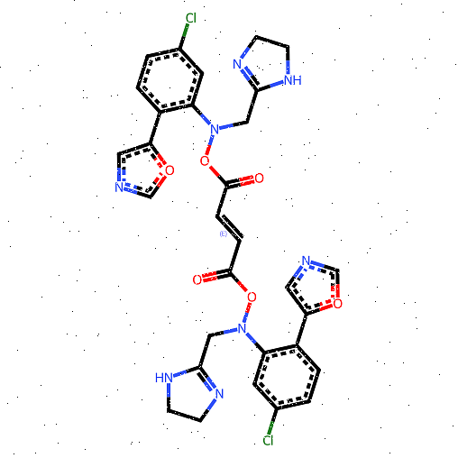 O=C(/C=C/C(=O)ON(CC1=NCCN1)c1cc(Cl)ccc1-c1cnco1)ON(CC1=NCCN1)c1cc(Cl)ccc1-c1cnco1